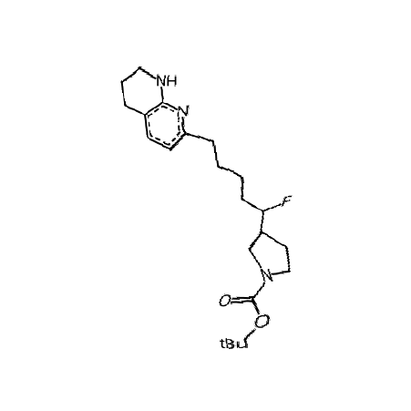 CC(C)(C)OC(=O)N1CCC(C(F)CCCCc2ccc3c(n2)NCCC3)C1